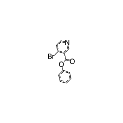 O=C(Oc1ccccc1)c1cnccc1Br